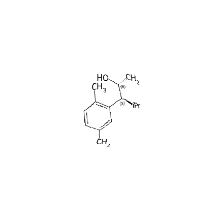 Cc1ccc(C)c([C@H](C(C)C)[C@@H](C)O)c1